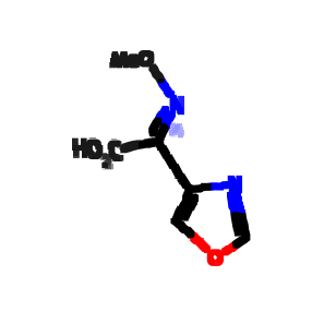 CO/N=C(\C(=O)O)c1cocn1